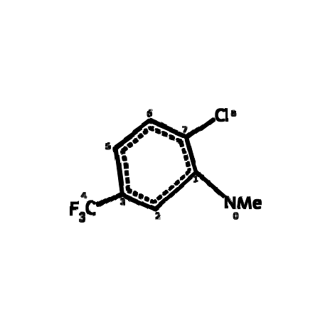 CNc1cc(C(F)(F)F)ccc1Cl